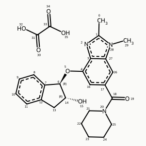 Cc1nc2c(O[C@@H]3c4ccccc4C[C@H]3O)cc(C(=O)N3CCCCC3)cc2n1C.O=C(O)C(=O)O